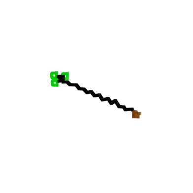 Cl[Si](Cl)(Cl)CCCCCCCCCCCCCCCCCCBr